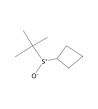 CC(C)(C)[S+]([O-])C1CCC1